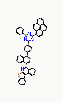 c1ccc(-c2nc(-c3ccc(-c4ccc(-c5nc6sc7ccccc7c6c6ccccc56)c5ccccc45)cc3)nc(-c3ccc4ccc5cccc6ccc3c4c56)n2)cc1